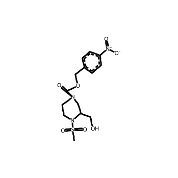 CS(=O)(=O)N1CCN(C(=O)OCc2ccc([N+](=O)[O-])cc2)CC1CO